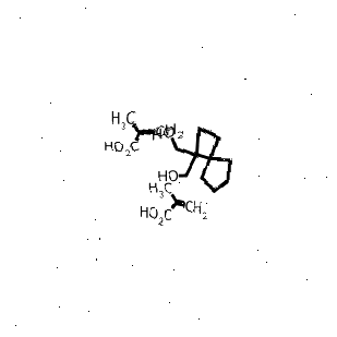 C=C(C)C(=O)O.C=C(C)C(=O)O.OCC1(CO)CCC12CCCC2